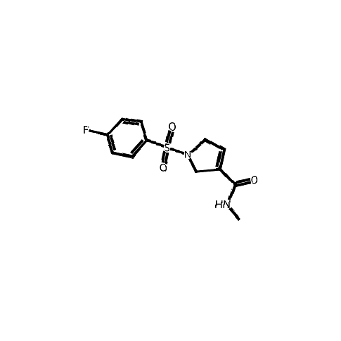 CNC(=O)C1=CCN(S(=O)(=O)c2ccc(F)cc2)C1